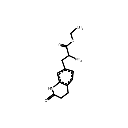 CCOC(=O)C(N)Cc1ccc2c(c1)NC(=O)CC2